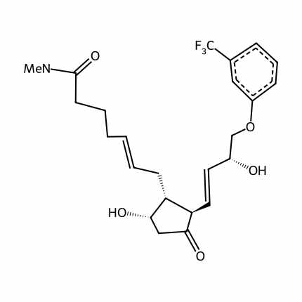 CNC(=O)CCCC=CC[C@H]1[C@@H](O)CC(=O)[C@@H]1C=C[C@@H](O)COc1cccc(C(F)(F)F)c1